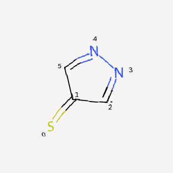 S=C1[C]=NN=C1